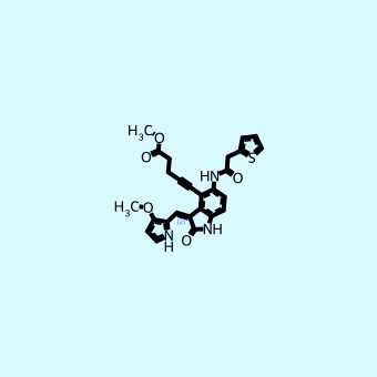 COC(=O)CCC#Cc1c(NC(=O)Cc2cccs2)ccc2c1/C(=C/c1[nH]ccc1OC)C(=O)N2